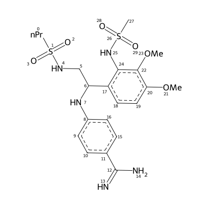 CCCS(=O)(=O)NCC(Nc1ccc(C(=N)N)cc1)c1ccc(OC)c(OC)c1NS(C)(=O)=O